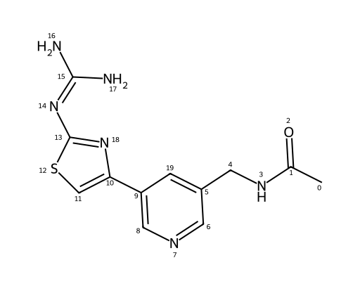 CC(=O)NCc1cncc(-c2csc(N=C(N)N)n2)c1